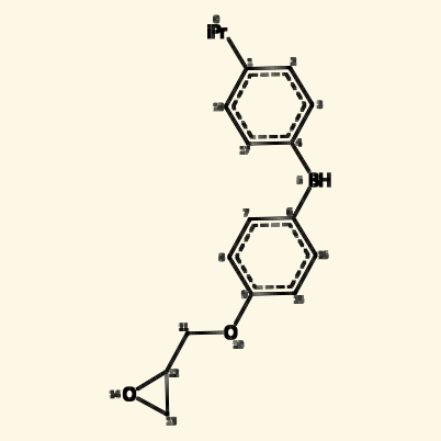 CC(C)c1ccc(Bc2ccc(OCC3CO3)cc2)cc1